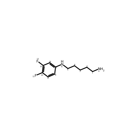 NCCCCCNc1ccc(F)c(F)c1